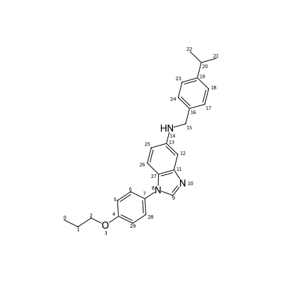 CCCOc1ccc(-n2cnc3cc(NCc4ccc(C(C)C)cc4)ccc32)cc1